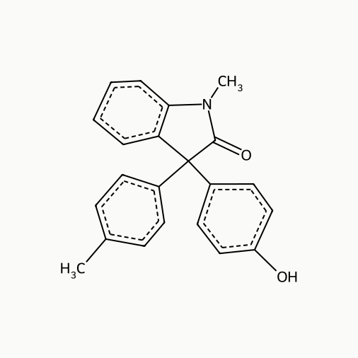 Cc1ccc(C2(c3ccc(O)cc3)C(=O)N(C)c3ccccc32)cc1